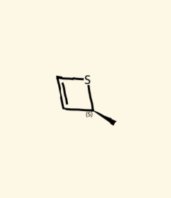 C[C@H]1C=CS1